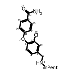 CCCCCNCc1ccc(Oc2ccc(C(N)=O)cc2)c(Cl)c1